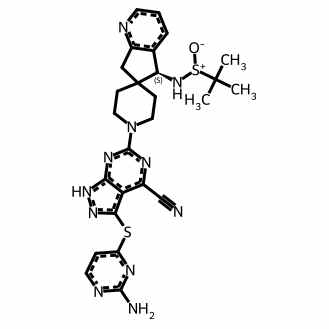 CC(C)(C)[S+]([O-])N[C@@H]1c2cccnc2CC12CCN(c1nc(C#N)c3c(Sc4ccnc(N)n4)n[nH]c3n1)CC2